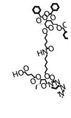 CC[C@H]1O[C@@H](n2ccc(/N=C\N(C)C)nc2=O)[C@@H](OCCCCCCNC(=O)CCCCO[C@@H]2O[C@H](COC(=O)c3ccccc3)[C@H](OC(=O)c3ccccc3)[C@H](OC(=O)c3ccccc3)[C@H]2C)C1OC(=O)CCC(=O)O